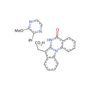 COc1nccnc1C(C)C.O=C(O)Cc1c2ccccc2n2c1[nH]c(=O)c1ccccc12